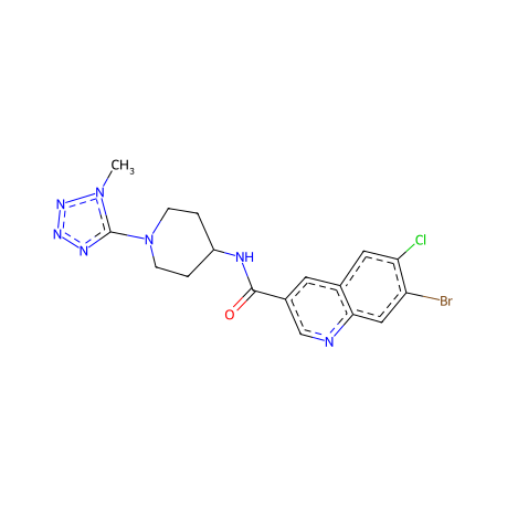 Cn1nnnc1N1CCC(NC(=O)c2cnc3cc(Br)c(Cl)cc3c2)CC1